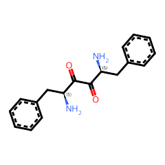 N[C@@H](Cc1ccccc1)C(=O)C(=O)[C@@H](N)Cc1ccccc1